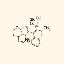 Cc1cc2ccccc2c(-c2ccc3c4c(cc[n+]([O-])c24)CCO3)c1[C@@H](CO)OC(C)(C)C